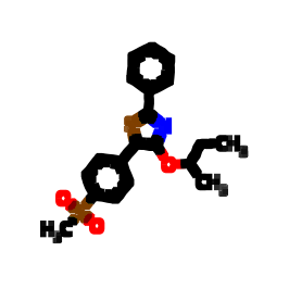 CCC(C)Oc1nc(-c2ccccc2)sc1-c1ccc(S(C)(=O)=O)cc1